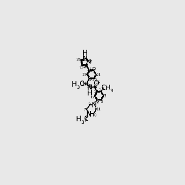 Cc1ccc(N2CCN(C)CC2)cc1C(=O)N[C@H](C)c1cccc(-c2cc[nH]n2)c1